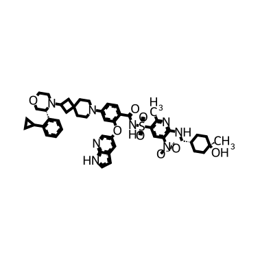 Cc1nc(NC[C@H]2CC[C@](C)(O)CC2)c([N+](=O)[O-])cc1S(=O)(=O)NC(=O)c1ccc(N2CCC3(CC2)CC(N2CCOC[C@H]2c2ccccc2C2CC2)C3)cc1Oc1cnc2[nH]ccc2c1